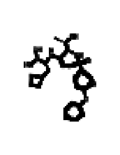 C[C@H](O)[C@H](NS(=O)(=O)c1ccc(Oc2ccccc2)nc1)C(=O)N[C@@H](CC1CCC1)B(O)O